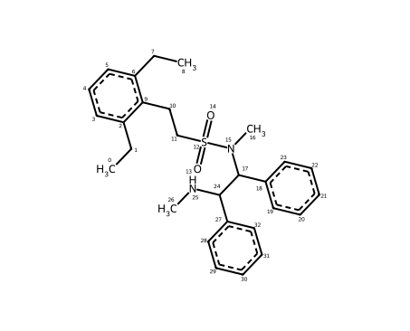 CCc1cccc(CC)c1CCS(=O)(=O)N(C)C(c1ccccc1)C(NC)c1ccccc1